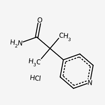 CC(C)(C(N)=O)c1ccncc1.Cl